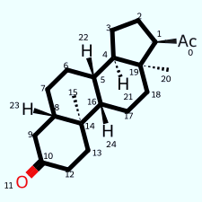 CC(=O)[C@@H]1CC[C@@H]2[C@H]3CC[C@H]4CC(=O)CC[C@]4(C)[C@H]3CC[C@@]21C